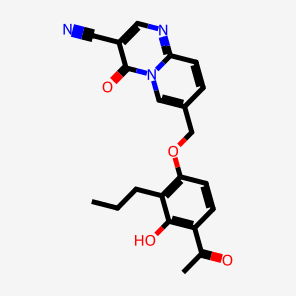 CCCc1c(OCc2ccc3ncc(C#N)c(=O)n3c2)ccc(C(C)=O)c1O